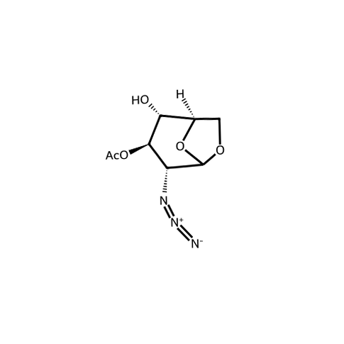 CC(=O)O[C@H]1[C@H](O)[C@H]2COC(O2)[C@@H]1N=[N+]=[N-]